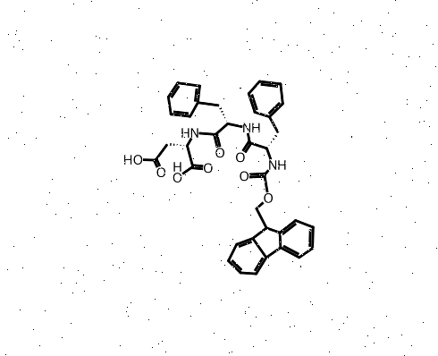 O=C(O)C[C@H](NC(=O)[C@H](Cc1ccccc1)NC(=O)[C@H](Cc1ccccc1)NC(=O)OCC1c2ccccc2-c2ccccc21)C(=O)O